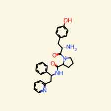 N[C@@H](Cc1ccc(O)cc1)C(=O)N1CCCC1C(=O)NC(Cc1ccccn1)c1ccccc1